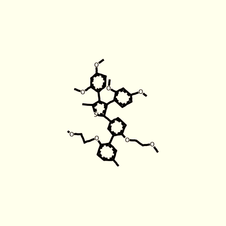 COCCOc1ccc(C)cc1-c1cc(-c2sc(C)c(-c3ccc(OC)cc3OC)c2-c2ccc(OC)cc2OC)ccc1OCCOC